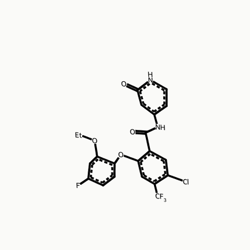 CCOc1cc(F)ccc1Oc1cc(C(F)(F)F)c(Cl)cc1C(=O)Nc1cc[nH]c(=O)c1